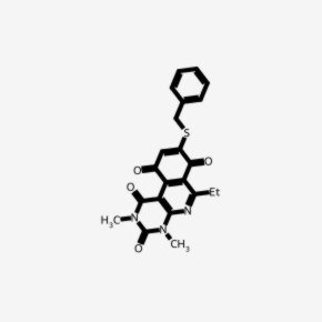 CCc1nc2c(c3c1C(=O)C(SCc1ccccc1)=CC3=O)c(=O)n(C)c(=O)n2C